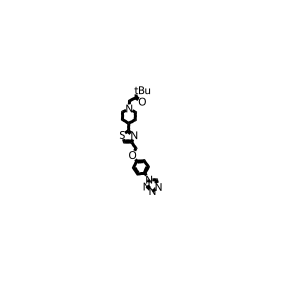 CC(C)(C)C(=O)CN1CCC(c2nc(COc3ccc(-n4cnnn4)cc3)cs2)CC1